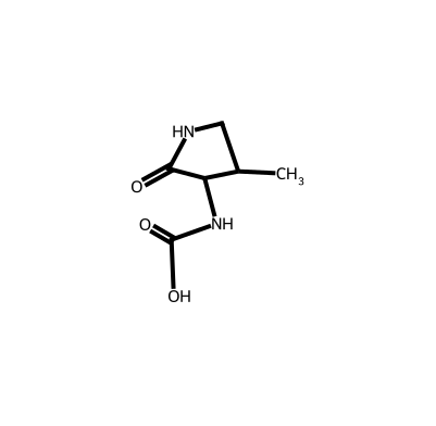 CC1CNC(=O)C1NC(=O)O